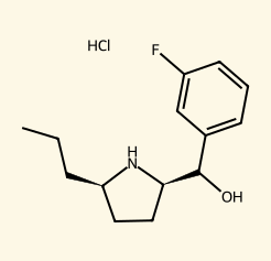 CCC[C@@H]1CC[C@H](C(O)c2cccc(F)c2)N1.Cl